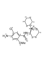 COc1cc(N)c(Cl)cc1C(=O)NC12CCCC(CC1)N2C1CCCCC1